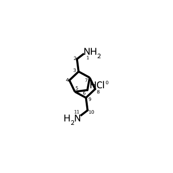 Cl.NCC1CC2CC1CC2CN